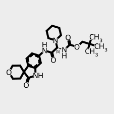 CC(C)(C)COC(=O)N[C@H](C(=O)Nc1ccc2c(c1)NC(=O)C21CCOCC1)N1CCCCC1